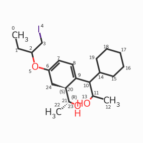 CCC(CI)OC1=CC=C(C(C(C)O)C2CCCCC2)[C@@H]([C@@H](C)O)C1